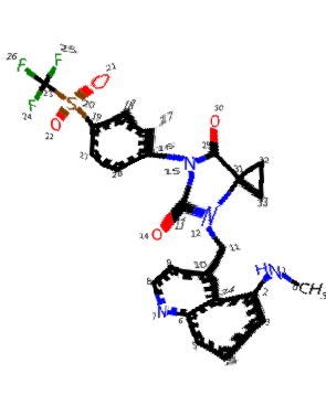 CNc1cccc2nccc(CN3C(=O)N(c4ccc(S(=O)(=O)C(F)(F)F)cc4)C(=O)C34CC4)c12